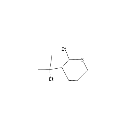 CCC1SCCCC1C(C)(C)CC